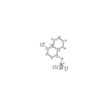 Clc1ccc(C[SiH](Cl)Cl)c2ccccc12